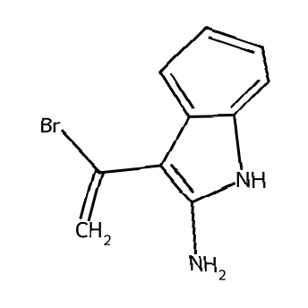 C=C(Br)c1c(N)[nH]c2ccccc12